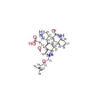 COCC(C(=O)O)[C@@H]1NCCC(c2cc3ccccc3[nH]c2=O)C1c1cc(C)c2nn(COCC[Si](C)(C)C)cc2c1